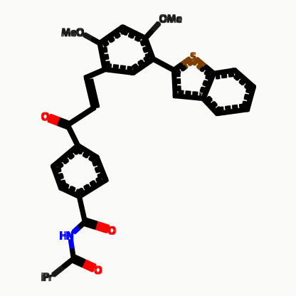 COc1cc(OC)c(-c2cc3ccccc3s2)cc1C=CC(=O)c1ccc(C(=O)NC(=O)C(C)C)cc1